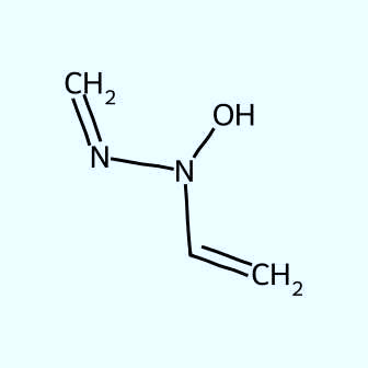 C=CN(O)N=C